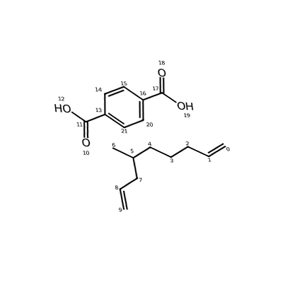 C=CCCCC(C)CC=C.O=C(O)c1ccc(C(=O)O)cc1